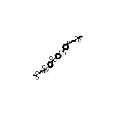 C=CC(=O)OCCCOc1ccc(C(=O)OC2=CC=C(OC(=O)c3ccc(OC(=O)NCCOC(C)=O)cc3)CC2)cc1